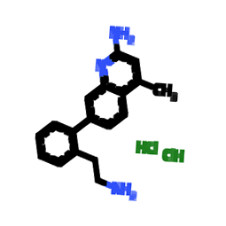 Cc1cc(N)nc2cc(-c3ccccc3CCN)ccc12.Cl.Cl